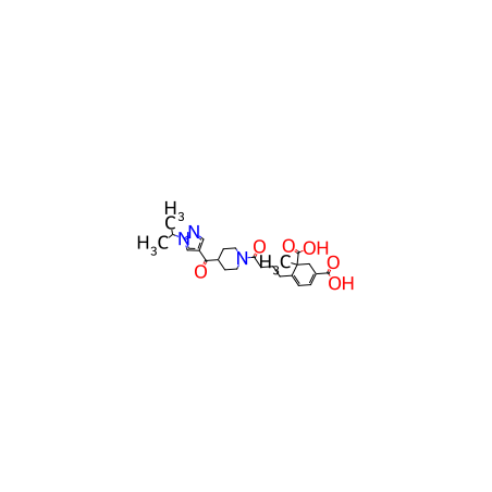 CC(C)n1cc(C(=O)C2CCN(C(=O)CCCC3=CC=C(C(=O)O)CC3(C)C(=O)O)CC2)cn1